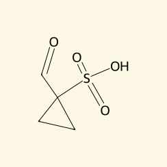 O=CC1(S(=O)(=O)O)CC1